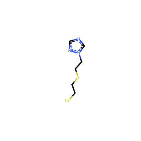 SCCSCCn1cncn1